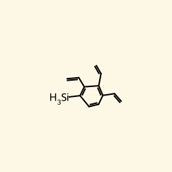 C=Cc1ccc([SiH3])c(C=C)c1C=C